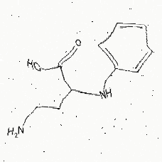 NCCC(Nc1ccccc1)C(=O)O